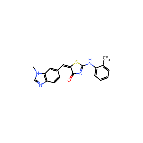 Cn1cnc2ccc(C=C3SC(Nc4ccccc4C(F)(F)F)=NC3=O)cc21